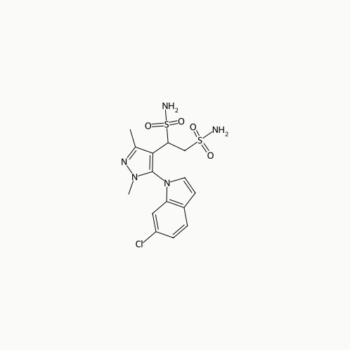 Cc1nn(C)c(-n2ccc3ccc(Cl)cc32)c1C(CS(N)(=O)=O)S(N)(=O)=O